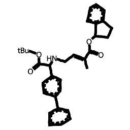 CC(=CCNC(C(=O)OC(C)(C)C)c1ccc(-c2ccccc2)cc1)C(=O)OC1CCc2ccccc21